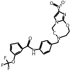 O=C(Nc1ccc(CN2CCOc3nc([N+](=O)[O-])cn3CC2)cc1)c1cccc(OC(F)(F)F)c1